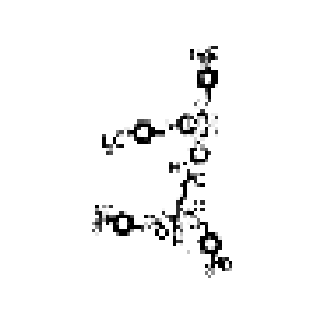 COc1ccc(CS[C@H]2C[C@@H](C(=O)N3CC[C@H](NC(=O)CCCN(C(=O)OCc4ccc([N+](=O)[O-])cc4)C(N)=NC(=O)OCc4ccc([N+](=O)[O-])cc4)C3)N(C(=O)OCc3ccc([N+](=O)[O-])cc3)C2)cc1